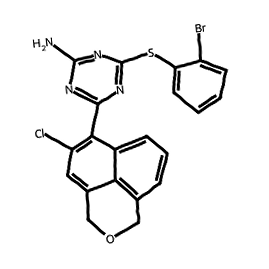 Nc1nc(Sc2ccccc2Br)nc(-c2c(Cl)cc3c4c(cccc24)COC3)n1